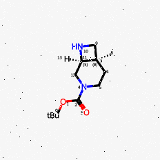 CC(C)(C)OC(=O)N1CC[C@]2(C)CN[C@@H]2C1